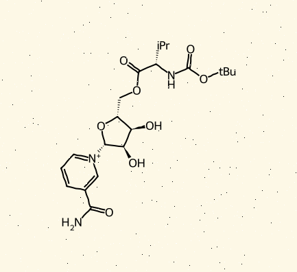 CC(C)[C@H](NC(=O)OC(C)(C)C)C(=O)OC[C@H]1O[C@@H]([n+]2cccc(C(N)=O)c2)[C@H](O)[C@@H]1O